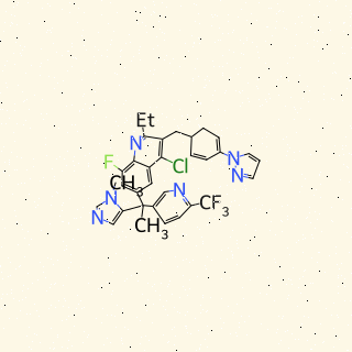 CCc1nc2c(F)cc(C(C)(c3ccc(C(F)(F)F)nc3)c3cncn3C)cc2c(Cl)c1CC1C=CC(n2cccn2)=CC1